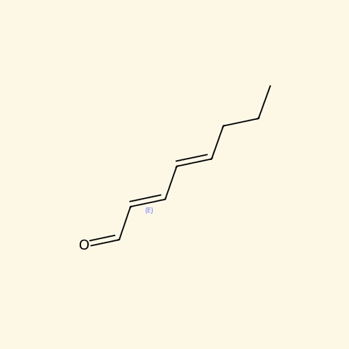 CCCC=C/C=C/C=O